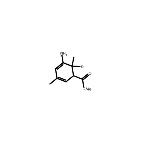 COC(=O)C1C=C(C)C=C(N)C1(C)Br